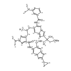 COCC(C)(C)c1cn2cc(NC(=O)c3cccc(C(F)F)n3)c(OC(C)Cc3cn(C(F)F)nc3C(=O)Nc3cn4cc(C5CC5)nc4cc3OC(C)C)cc2n1